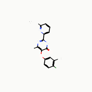 COc1cccc(-c2nc(C(F)(F)F)c(Oc3ccc(Cl)c(C(F)(F)F)c3)c(=O)[nH]2)n1